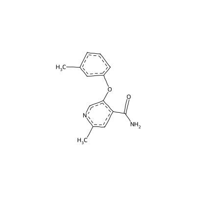 Cc1cccc(Oc2cnc(C)cc2C(N)=O)c1